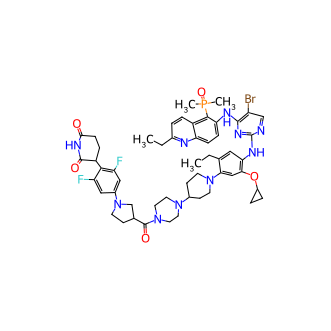 CCc1ccc2c(P(C)(C)=O)c(Nc3nc(Nc4cc(CC)c(N5CCC(N6CCN(C(=O)C7CCN(c8cc(F)c(C9CCC(=O)NC9=O)c(F)c8)C7)CC6)CC5)cc4OC4CC4)ncc3Br)ccc2n1